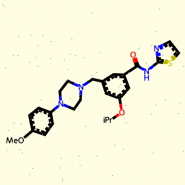 COc1ccc(N2CCN(Cc3cc(OC(C)C)cc(C(=O)Nc4nccs4)c3)CC2)cc1